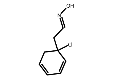 ON=CCC1(Cl)C=CC=CC1